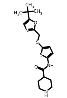 CC(C)(C)c1cnc(CSc2ccc(NC(=O)C3CCNCC3)s2)o1